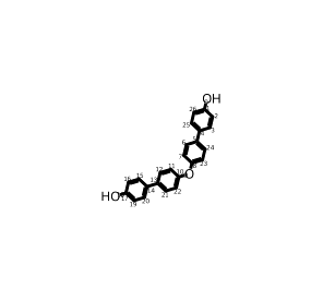 Oc1ccc(-c2ccc(Oc3ccc(-c4ccc(O)cc4)cc3)cc2)cc1